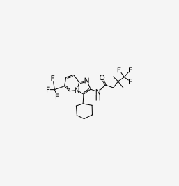 CC(C)(CC(=O)Nc1nc2ccc(C(F)(F)F)cn2c1C1CCCCC1)C(F)(F)F